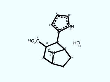 CN1C2CCC1C(c1ccc[nH]1)C(C(=O)O)C2.Cl